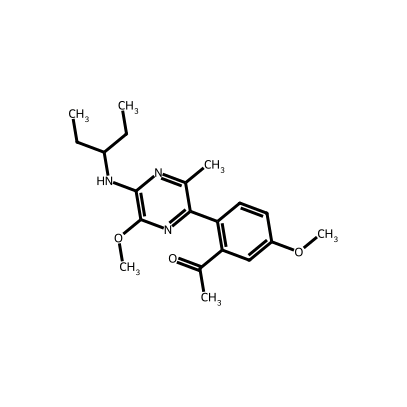 CCC(CC)Nc1nc(C)c(-c2ccc(OC)cc2C(C)=O)nc1OC